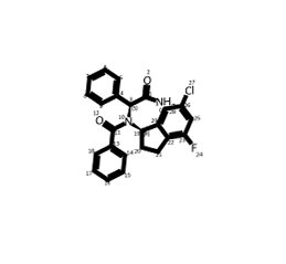 NC(=O)[C@H](c1ccccc1)N(C(=O)c1ccccc1)[C@@H]1CCc2c(F)cc(Cl)cc21